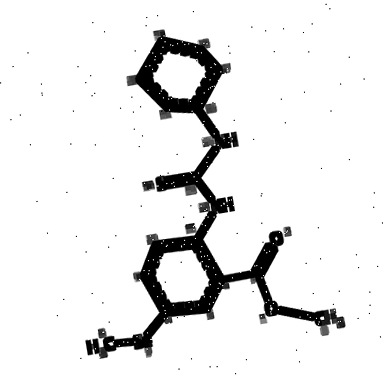 COC(=O)c1cc([Se]C)ccc1NC(=S)Nc1ccccc1